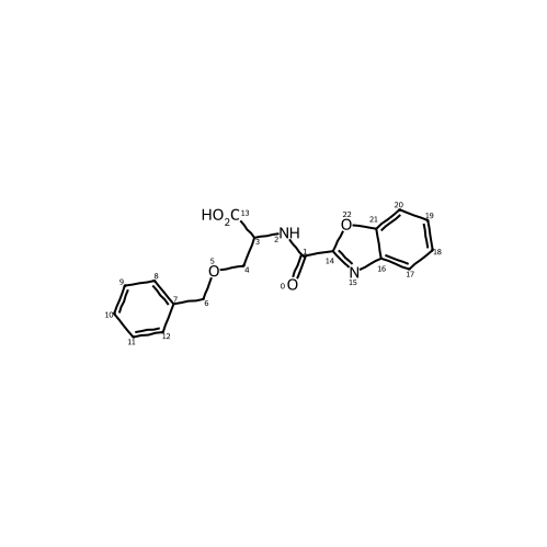 O=C(NC(COCc1ccccc1)C(=O)O)c1nc2ccccc2o1